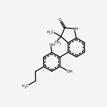 CCCc1cc(O)c(-c2cccc3c2C(C)(C)C(=O)N3)c(O)c1